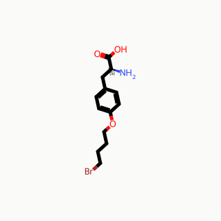 N[C@@H](Cc1ccc(OCCCCBr)cc1)C(=O)O